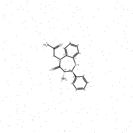 NC(=O)CN1C(=O)[C@@H](N)[C@H](c2ccccc2)Sc2ccccc21